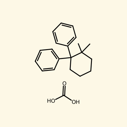 CC1(C)CCCCC1(c1ccccc1)c1ccccc1.O=C(O)O